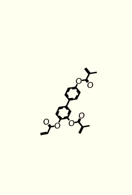 C=CC(=O)Oc1ccc(-c2ccc(OC(=O)C(=C)C)cc2)cc1OC(=O)C(=C)C